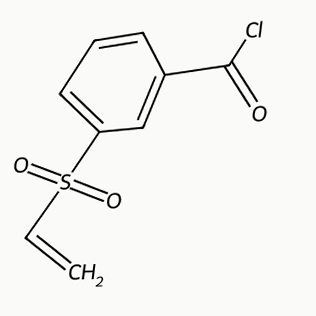 C=CS(=O)(=O)c1cccc(C(=O)Cl)c1